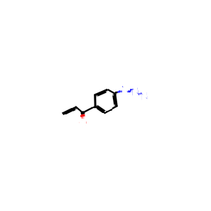 C=CC(=O)c1ccc(N=[N+]=[N-])cc1